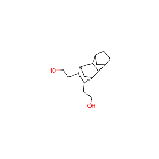 OCCC1C(CCO)C2CC1C1C3CCC(C3)C21